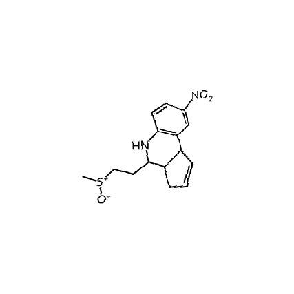 C[S+]([O-])CCC1Nc2ccc([N+](=O)[O-])cc2C2C=CCC12